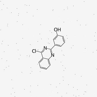 Oc1cccc(-c2nc(Cl)c3ccccc3n2)c1